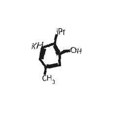 Cc1ccc(C(C)C)c(O)c1.[KH]